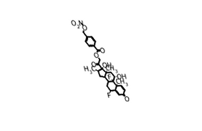 C[C@@H]1CC2C3C[C@H](F)C4=CC(=O)C=C[C@]4(C)[C@@]3(F)[C@@H](O)C[C@]2(C)[C@@]1(O)C(=O)COC(=O)c1ccc(CO[N+](=O)[O-])cc1